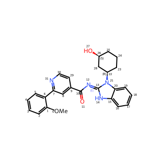 COc1ccccc1-c1cc(C(=O)/N=c2\[nH]c3ccccc3n2[C@@H]2CCC[C@H](O)C2)ccn1